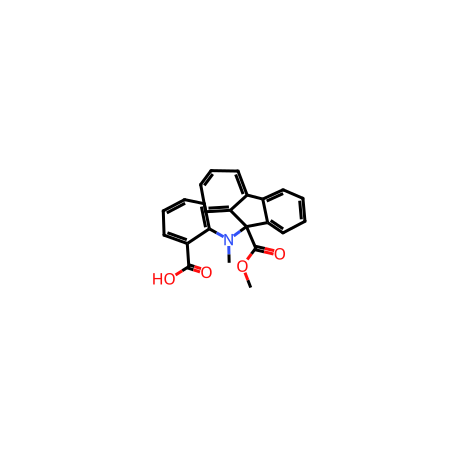 COC(=O)C1(N(C)c2ccccc2C(=O)O)c2ccccc2-c2ccccc21